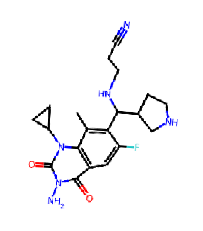 Cc1c(C(NCCC#N)C2CCNC2)c(F)cc2c(=O)n(N)c(=O)n(C3CC3)c12